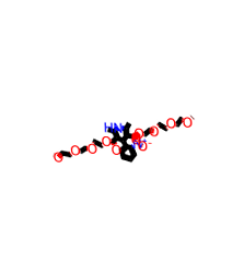 COCCOCCOCCOC(=O)C1=C(C)NC(C)=C(C(=O)OCCOCCOCCOC)C1c1ccccc1[N+](=O)[O-]